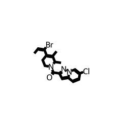 C/C=C(/Br)C1=C(C)C(C)N(C(=O)c2cc3ccc(Cl)cn3n2)CC1